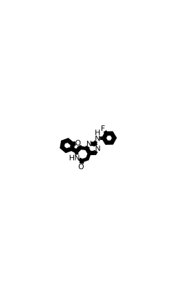 O=C1Cc2cnc(Nc3ccccc3F)nc2-c2oc3ccccc3c2N1